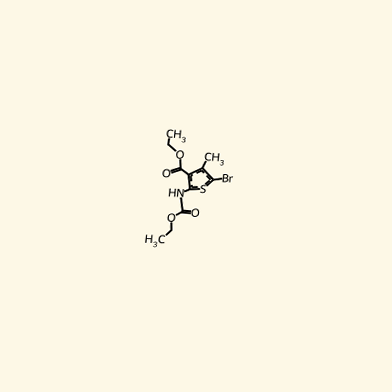 CCOC(=O)Nc1sc(Br)c(C)c1C(=O)OCC